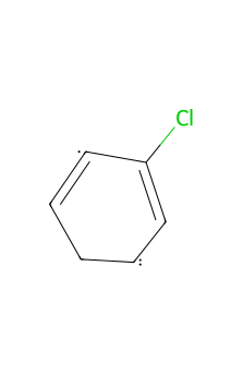 ClC1=C[C]CC=[C]1